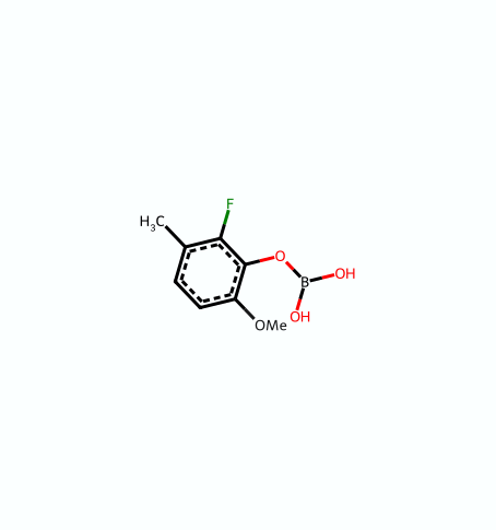 COc1ccc(C)c(F)c1OB(O)O